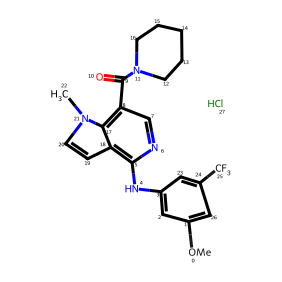 COc1cc(Nc2ncc(C(=O)N3CCCCC3)c3c2ccn3C)cc(C(F)(F)F)c1.Cl